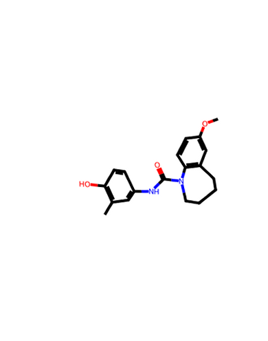 COc1ccc2c(c1)CCCCN2C(=O)Nc1ccc(O)c(C)c1